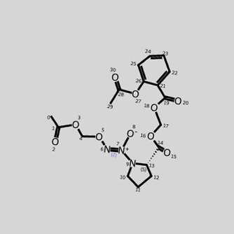 CC(=O)OCO/N=[N+](\[O-])N1CCC[C@H]1C(=O)OCOC(=O)c1ccccc1OC(C)=O